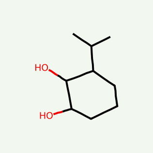 CC(C)C1CCCC(O)C1O